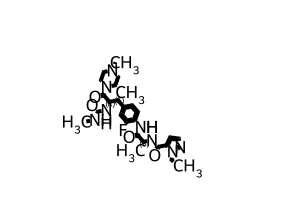 CCn1nccc1C(=O)N[C@@H](C)C(=O)Nc1ccc([C@H](C)[C@@H](NC(=O)NC)C(=O)N2CCN(C)CC2)cc1F